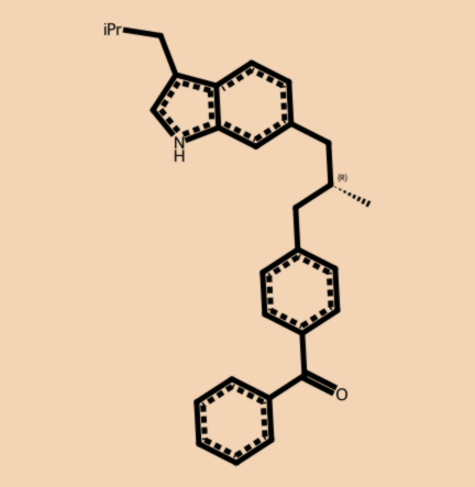 CC(C)Cc1c[nH]c2cc(C[C@H](C)Cc3ccc(C(=O)c4ccccc4)cc3)ccc12